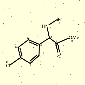 COC(=O)C(NC(C)C)c1ccc(Cl)cc1